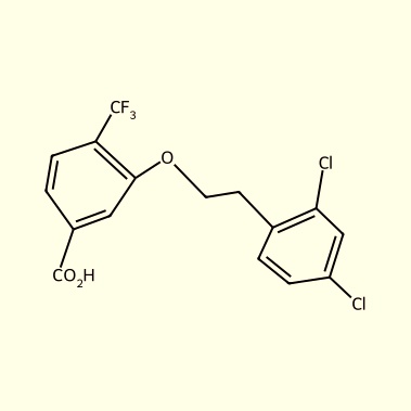 O=C(O)c1ccc(C(F)(F)F)c(OCCc2ccc(Cl)cc2Cl)c1